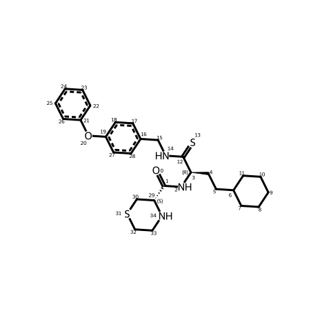 O=C(N[C@H](CCC1CCCCC1)C(=S)NCc1ccc(Oc2ccccc2)cc1)[C@H]1CSCCN1